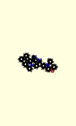 c1ccc(N2c3ccccc3C3(c4cc5c(cc42)C2(c4ccccc4-c4ccccc42)c2ccccc2-5)c2cccnc2-c2ncc(-c4ccc5c6ccc7oc8ccccc8c7c6n(-c6ccccc6)c5c4)cc23)cc1